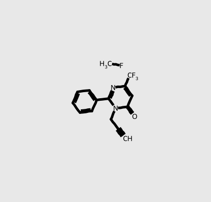 C#CCn1c(-c2ccccc2)nc(C(F)(F)F)cc1=O.CF